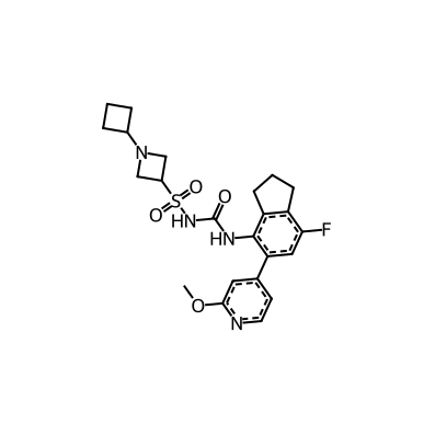 COc1cc(-c2cc(F)c3c(c2NC(=O)NS(=O)(=O)C2CN(C4CCC4)C2)CCC3)ccn1